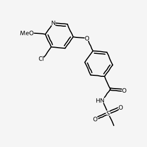 COc1ncc(Oc2ccc(C(=O)NS(C)(=O)=O)cc2)cc1Cl